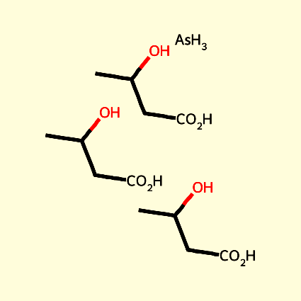 CC(O)CC(=O)O.CC(O)CC(=O)O.CC(O)CC(=O)O.[AsH3]